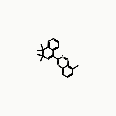 CC1(C)N=C(c2nnc3c(F)cccc3n2)c2ccccc2C1(C)C